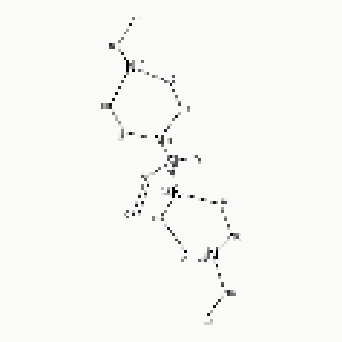 C=C[Si](C)(N1CCN(CC)CC1)N1CCN(CC)CC1